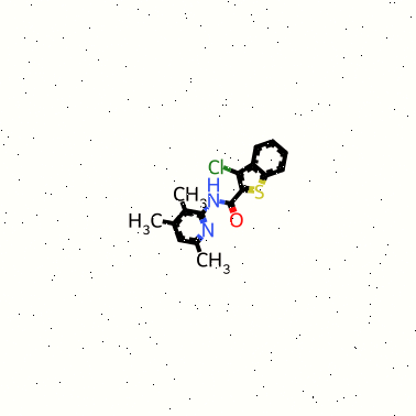 Cc1cc(C)c(C)c(NC(=O)c2sc3ccccc3c2Cl)n1